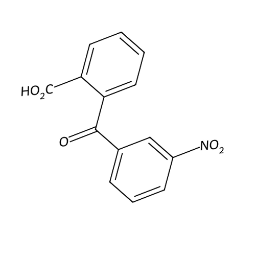 O=C(O)c1ccccc1C(=O)c1cccc([N+](=O)[O-])c1